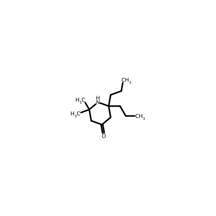 CCCC1(CCC)CC(=O)CC(C)(C)N1